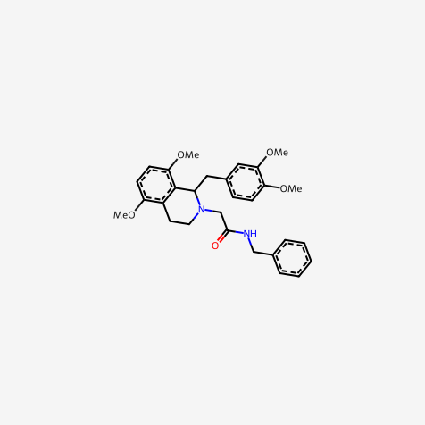 COc1ccc(CC2c3c(OC)ccc(OC)c3CCN2CC(=O)NCc2ccccc2)cc1OC